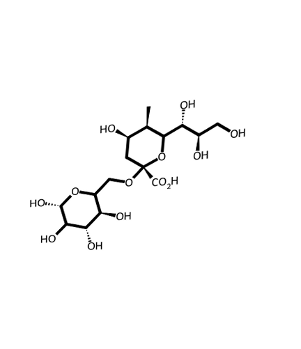 C[C@H]1C([C@H](O)[C@H](O)CO)O[C@@](OCC2O[C@@H](O)C(O)[C@@H](O)[C@@H]2O)(C(=O)O)C[C@H]1O